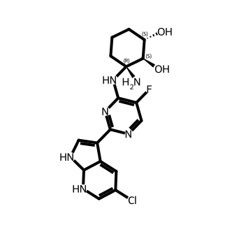 N[C@@]1(Nc2nc(C3=CNC4NC=C(Cl)C=C34)ncc2F)CCC[C@H](O)[C@H]1O